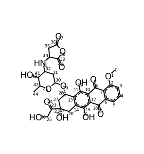 COc1cccc2c1C(=O)c1c(O)c3c(c(O)c1C2=O)C[C@@](O)(C(=O)CO)C[C@@H]3OC1CC(NC2CC(=O)OC2=O)C(O)C(C)O1